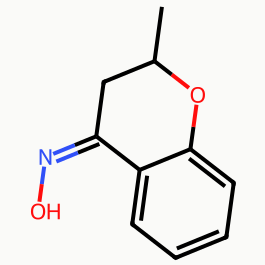 CC1C/C(=N/O)c2ccccc2O1